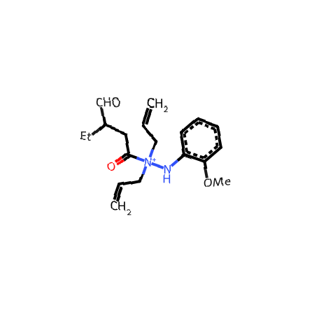 C=CC[N+](CC=C)(Nc1ccccc1OC)C(=O)CC(C=O)CC